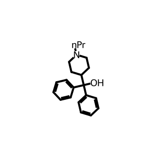 CCCN1CCC(C(O)(c2ccccc2)c2ccccc2)CC1